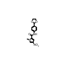 Cn1cc([N+](=O)[O-])cc1C(=O)Nc1ccc(C2OCCO2)cc1